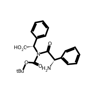 CC(C)(C)OC(=O)N(C(=O)[C@@H](N)c1ccccc1)[C@H](C(=O)O)c1ccccc1